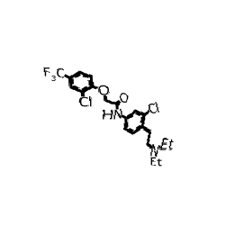 CCN(CC)CCc1ccc(NC(=O)COc2ccc(C(F)(F)F)cc2Cl)cc1Cl